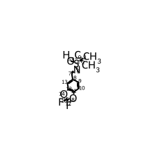 CC(C)(C)[S+]([O-])N=Cc1ccc2c(c1)OC(F)(F)O2